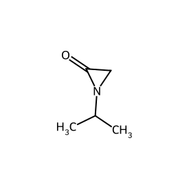 CC(C)N1CC1=O